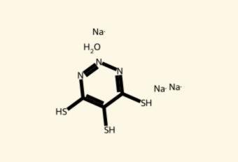 O.Sc1nnnc(S)c1S.[Na].[Na].[Na]